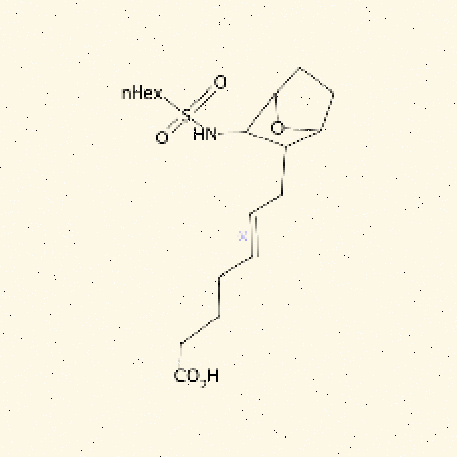 CCCCCCS(=O)(=O)NC1C2CCC(O2)C1C/C=C/CCCC(=O)O